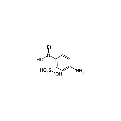 CCN(O)c1ccc(N)cc1.O=S(=O)(O)O